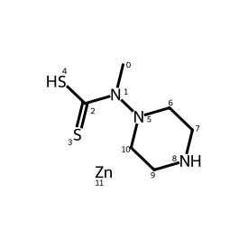 CN(C(=S)S)N1CCNCC1.[Zn]